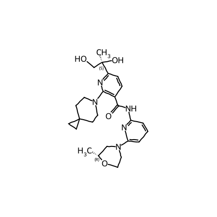 C[C@@H]1CN(c2cccc(NC(=O)c3ccc([C@](C)(O)CO)nc3N3CCC4(CC3)CC4)n2)CCO1